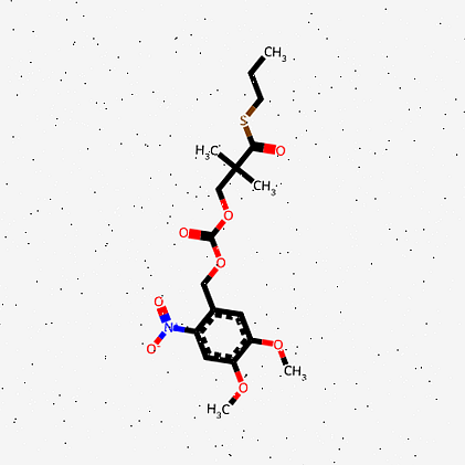 CCCSC(=O)C(C)(C)COC(=O)OCc1cc(OC)c(OC)cc1[N+](=O)[O-]